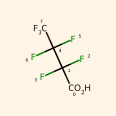 O=C(O)C(F)(F)C(F)(F)C(F)(F)F